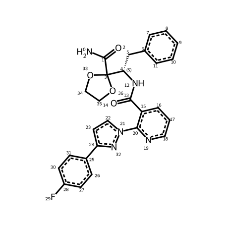 NC(=O)C1([C@H](Cc2ccccc2)NC(=O)c2cccnc2-n2ccc(-c3ccc(F)cc3)n2)OCCO1